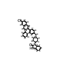 O=c1[nH]c2ccccc2n1C1CCN(Cc2ccc(C3=Nc4ccc(Cl)cc4CN3c3ccccc3)cc2)CC1